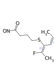 C/C=C\C(SCCCC(=O)N=O)=C(/C)F